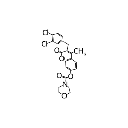 Cc1c(Cc2ccc(Cl)c(Cl)c2)c(=O)oc2cc(OC(=O)N3CCOCC3)ccc12